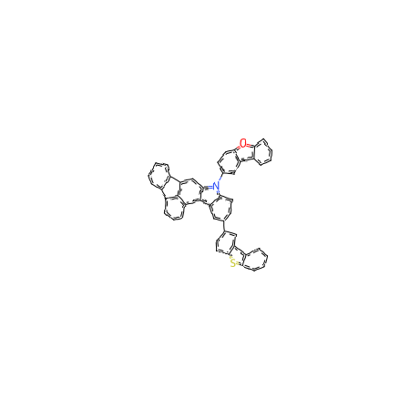 c1ccc2c(c1)-c1cccc3c1c-2cc1c3c2cc(-c3ccc4sc5ccccc5c4c3)ccc2n1-c1ccc2oc3ccccc3c2c1